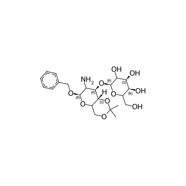 CC1(C)OCC2O[C@@H](OCc3ccccc3)C(N)[C@@H](O[C@@H]3OC(CO)[C@H](O)[C@H](O)C3O)[C@@H]2O1